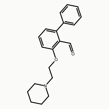 O=Cc1c(OCCN2CCCCC2)cccc1-c1ccccc1